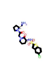 NC[C@H]1CCCN1C(=O)CN1CCC[C@H](NS(=O)(=O)c2cc3cc(Cl)ccc3s2)C1=O